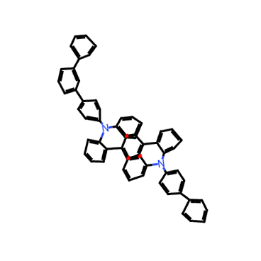 c1ccc(-c2ccc(N(c3ccccc3)c3ccccc3-c3ccc(-c4ccccc4N(c4ccccc4)c4ccc(-c5cccc(-c6ccccc6)c5)cc4)cc3)cc2)cc1